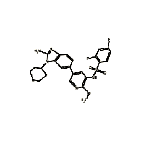 COc1ncc(-c2ccc3nc(N)n(C4CCOCC4)c3c2)cc1NS(=O)(=O)c1ccc(F)cc1F